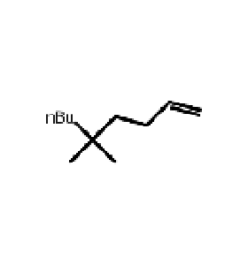 C=CCCC(C)(C)CCCC